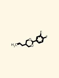 C=CCC1COC(c2ccc(F)c(F)c2)OC1